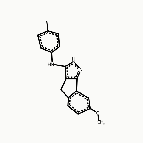 COc1ccc2c(c1)-c1n[nH]c(Nc3ccc(F)cc3)c1C2